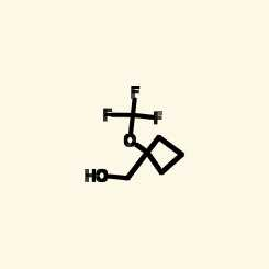 OCC1(OC(F)(F)F)CCC1